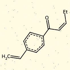 C=Cc1ccc(C(=O)/[C]=C\CC)cc1